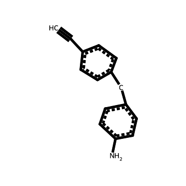 C#Cc1ccc(Cc2ccc(N)cc2)cc1